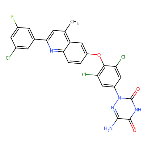 Cc1cc(-c2cc(F)cc(Cl)c2)nc2ccc(Oc3c(Cl)cc(-n4nc(N)c(=O)[nH]c4=O)cc3Cl)cc12